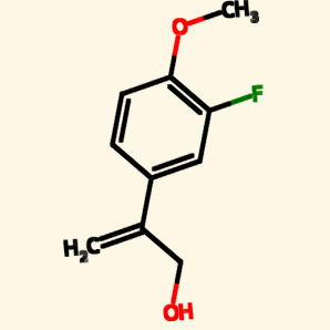 C=C(CO)c1ccc(OC)c(F)c1